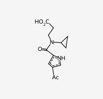 CC(=O)c1c[nH]c(C(=O)N(CCC(=O)O)C2CC2)c1